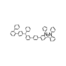 c1ccc(-c2ccccc2-c2ccc(C(c3ccccc3)c3cccc(-c4ccc(-c5ccc6c7c8ccccc8n(-c8ccccc8)c7n(-c7ccccc7)c6c5)cc4)c3)cc2)cc1